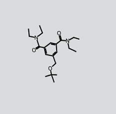 CCN(CC)C(=O)c1cc(COC(C)(C)C)cc(C(=O)N(CC)CC)c1